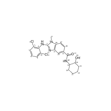 Cn1c(Nc2c(Cl)cccc2Cl)nc2cc(C(=O)NC3CCCCC3O)ccc21